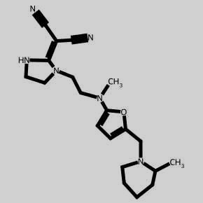 CC1CCCCN1Cc1ccc(N(C)CCN2CCNC2=C(C#N)C#N)o1